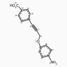 Nc1ccc(OCC#Cc2ccc(C(=O)O)cc2)cc1